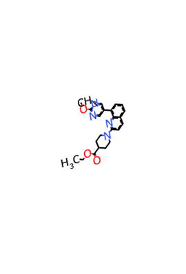 CCOC(=O)C1CCN(c2ccc3cccc(-c4cnc(OC)nc4)c3n2)CC1